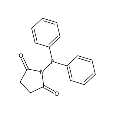 O=C1CCC(=O)N1P(c1ccccc1)c1ccccc1